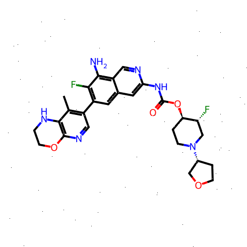 Cc1c(-c2cc3cc(NC(=O)O[C@@H]4CCN([C@@H]5CCOC5)C[C@H]4F)ncc3c(N)c2F)cnc2c1NCCO2